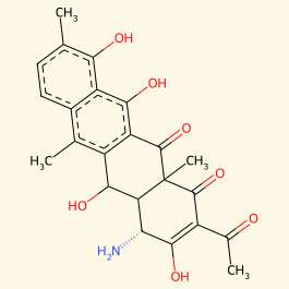 CC(=O)C1=C(O)[C@H](N)C2C(O)c3c(c(O)c4c(O)c(C)ccc4c3C)C(=O)C2(C)C1=O